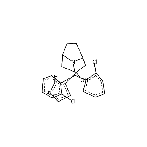 OC1(c2ccn[nH]2)CC2CCC(C1)N2C(c1ccccc1Cl)c1ccccc1Cl